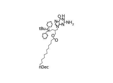 CCCCCCCCCCCCCCCCCCCCCC(=O)OCC(CC[Si](c1ccccc1)(c1ccccc1)C(C)(C)C)Cn1cnc2c(=O)[nH]c(N)nc21